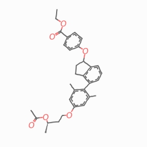 CCOC(=O)c1ccc(OC2CCc3c(-c4c(C)cc(OCC[C@@H](C)OC(C)=O)cc4C)cccc32)cc1